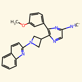 [C-]#[N+]c1cnc(C2CN(c3ccc4ccccc4n3)C2)c(-c2cccc(OC)c2)n1